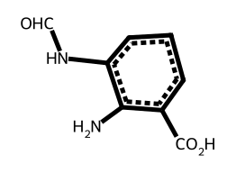 Nc1c(NC=O)cccc1C(=O)O